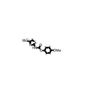 COc1ccc(OC(=O)Nc2nc(C(C)(C)C)cs2)cc1